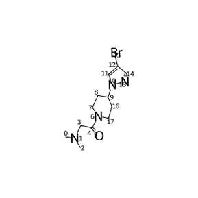 CN(C)CC(=O)N1CCC(n2cc(Br)cn2)CC1